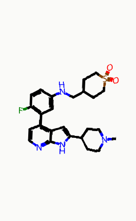 CN1CCC(c2cc3c(-c4cc(NCC5CCS(=O)(=O)CC5)ccc4F)ccnc3[nH]2)CC1